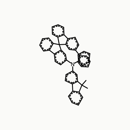 CC1(C)c2ccccc2-c2ccc(N(c3ccccc3)c3ccc4c(c3)C3(c5ccccc5-c5ccc(-c6ccccc6)cc53)c3ccccc3-4)cc21